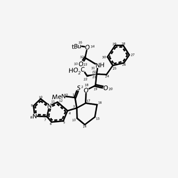 CNC(=S)C1(c2ccc3nccn3c2)CCCCC1OC(=O)[C@@](CC(=O)O)(Cc1ccccc1)NC(=O)OC(C)(C)C